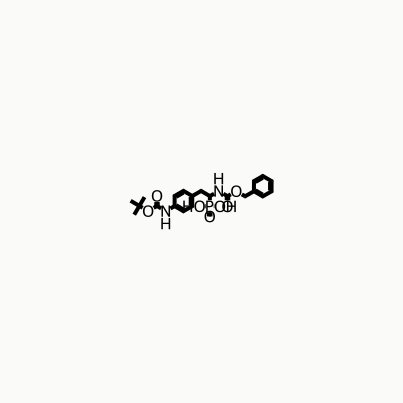 CC(C)(C)OC(=O)Nc1ccc(CC(NC(=O)OCc2ccccc2)P(=O)(O)O)cc1